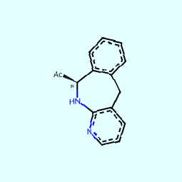 CC(=O)[C@@H]1Nc2ncccc2Cc2ccccc21